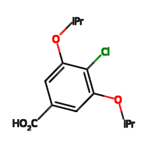 CC(C)Oc1cc(C(=O)O)cc(OC(C)C)c1Cl